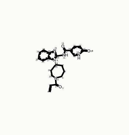 C=CC(=O)N1CCC[C@@H](n2c(NC(=O)c3ccc(=O)[nH]c3)nc3ccccc32)CC1